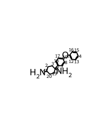 NC1CCC(N)(c2ccc(Oc3ccccc3)cc2)CC1